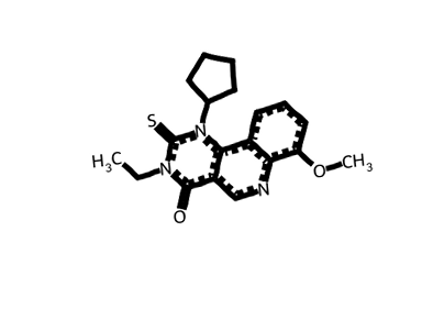 CCn1c(=O)c2cnc3c(OC)cccc3c2n(C2CCCC2)c1=S